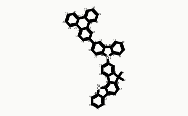 CC1(C)c2cc(-n3c4ccccc4c4cc(-c5ccc6c7ccccc7c7ccccc7c6c5)ccc43)ccc2-c2c1ccc1c2oc2ccccc21